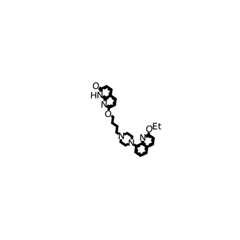 CCOc1ccc2cccc(N3CCN(CCCCOc4ccc5ccc(=O)[nH]c5n4)CC3)c2n1